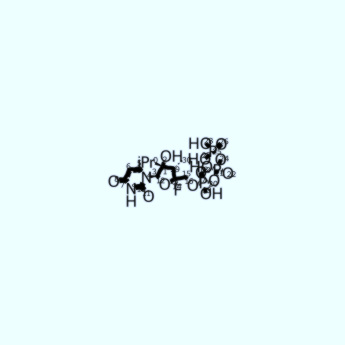 CC(C)[C@]1(O)[C@H](n2ccc(=O)[nH]c2=O)O[C@](F)(COP(=O)(O)OP(=O)(O)OP(=O)(O)O)[C@H]1C